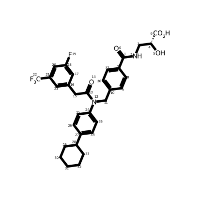 O=C(NC[C@@H](O)C(=O)O)c1ccc(CN(C(=O)Cc2cc(F)cc(C(F)(F)F)c2)c2ccc(C3CCCCC3)cc2)cc1